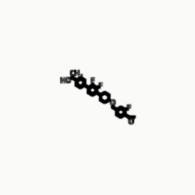 CC(O)c1ccc(-c2ccc(C3CCC(OCc4ccc(C5CO5)c(F)c4)CC3)c(F)c2F)cc1